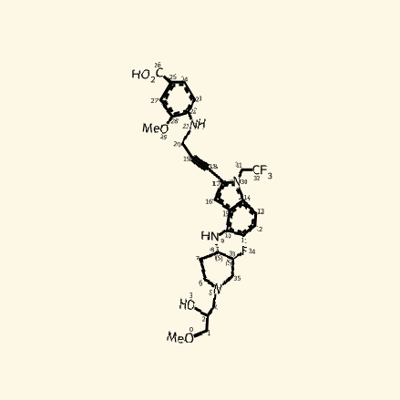 COCC(O)CN1CC[C@H](Nc2cccc3c2cc(C#CCNc2ccc(C(=O)O)cc2OC)n3CC(F)(F)F)[C@@H](F)C1